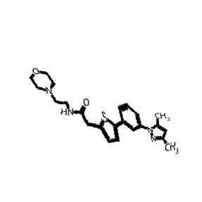 Cc1cc(C)n(-c2cccc(-c3ccc(CC(=O)NCCN4CCOCC4)s3)c2)n1